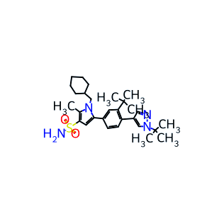 Cc1c(S(N)(=O)=O)cc(-c2ccc(-c3cnn(C(C)(C)C)c3)c(C(C)(C)C)c2)n1CC1CCCCC1